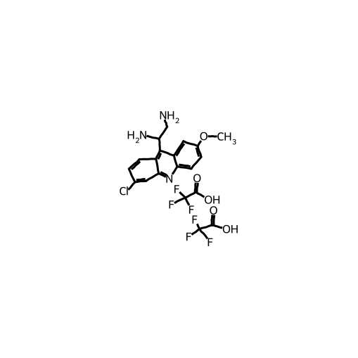 COc1ccc2nc3cc(Cl)ccc3c(C(N)CN)c2c1.O=C(O)C(F)(F)F.O=C(O)C(F)(F)F